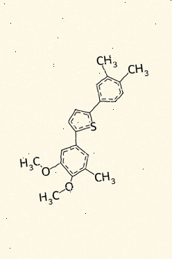 COc1cc(-c2ccc(-c3ccc(C)c(C)c3)s2)cc(C)c1OC